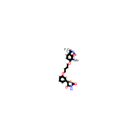 CCCc1c(OCCCCOc2cccc(C3SC(=O)NC3=O)c2)ccc2c(C(F)(F)F)noc12